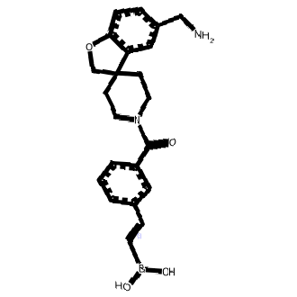 NCc1ccc2c(c1)C1(CCN(C(=O)c3cccc(/C=C/B(O)O)c3)CC1)CO2